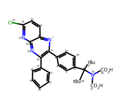 CC(C)(C)C(c1ccc(-c2nc3ccc(Cl)nc3nc2-c2ccccc2)cc1)(N(C(=O)O)C(=O)O)C(C)(C)C